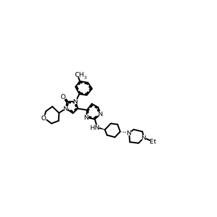 CCN1CCN([C@H]2CC[C@H](Nc3nccc(-c4cn(C5CCOCC5)c(=O)n4-c4cccc(C)c4)n3)CC2)CC1